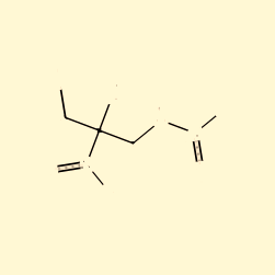 O=[N+]([O-])C(Br)(CO)CO[Si](=O)O